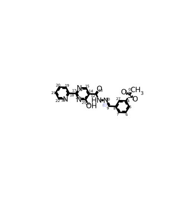 CS(=O)(=O)c1cccc(/C=N/NC(=O)c2cnc(-c3ccccn3)nc2O)c1